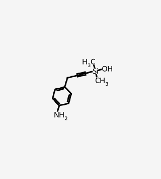 C[Si](C)(O)C#CCc1ccc(N)cc1